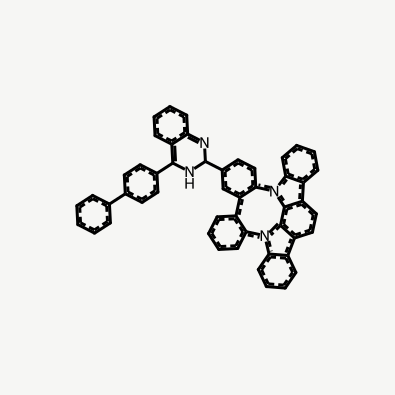 c1ccc(-c2ccc(C3=c4ccccc4=NC(c4ccc5c(c4)c4ccccc4n4c6ccccc6c6ccc7c8ccccc8n5c7c64)N3)cc2)cc1